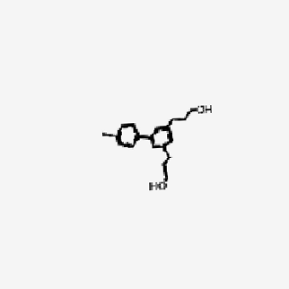 Cc1ccc(-c2cc(CCCO)cc(CCCO)c2)cc1